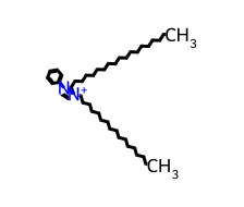 CCCCCCCCCCCCCCCCCCc1n(-c2ccccc2)cc[n+]1CCCCCCCCCCCCCCCCC